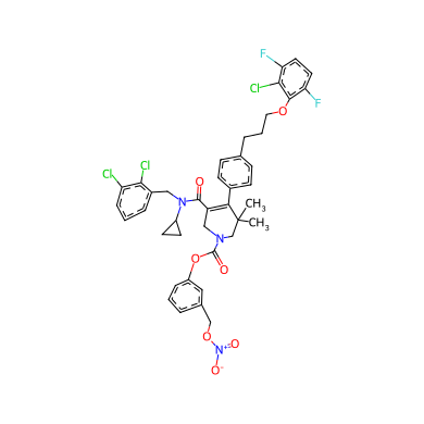 CC1(C)CN(C(=O)Oc2cccc(CO[N+](=O)[O-])c2)CC(C(=O)N(Cc2cccc(Cl)c2Cl)C2CC2)=C1c1ccc(CCCOc2c(F)ccc(F)c2Cl)cc1